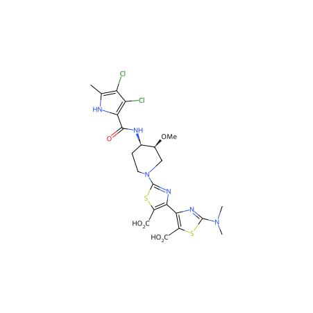 CO[C@H]1CN(c2nc(-c3nc(N(C)C)sc3C(=O)O)c(C(=O)O)s2)CC[C@H]1NC(=O)c1[nH]c(C)c(Cl)c1Cl